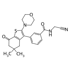 CC1(C)CC(=O)c2sc(N3CCOCC3)c(-c3cccc(C(=O)NCC#N)c3)c2C1